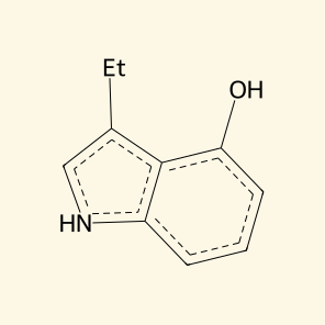 CCc1c[nH]c2cccc(O)c12